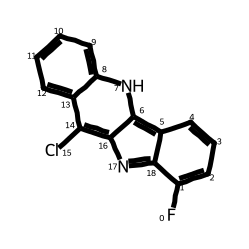 Fc1cccc2c3[nH]c4ccccc4c(Cl)c-3nc12